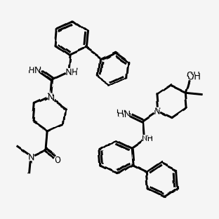 CC1(O)CCN(C(=N)Nc2ccccc2-c2ccccc2)CC1.CN(C)C(=O)C1CCN(C(=N)Nc2ccccc2-c2ccccc2)CC1